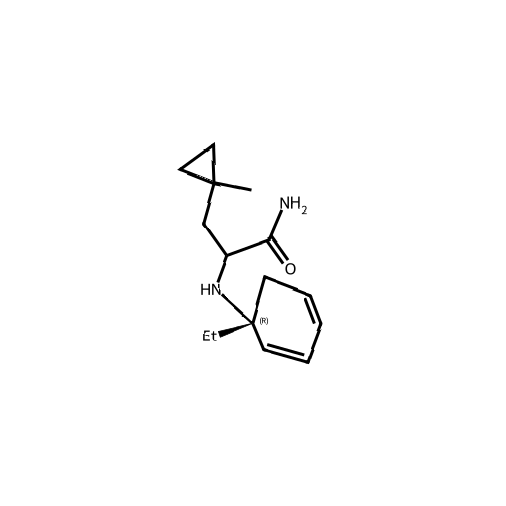 CC[C@]1(NC(CC2(C)CC2)C(N)=O)C=CC=CC1